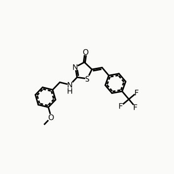 COc1cccc(CNC2=NC(=O)/C(=C/c3ccc(C(F)(F)F)cc3)S2)c1